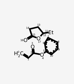 C=CC(=O)Oc1ccccc1.CCC1CCC(=O)O1